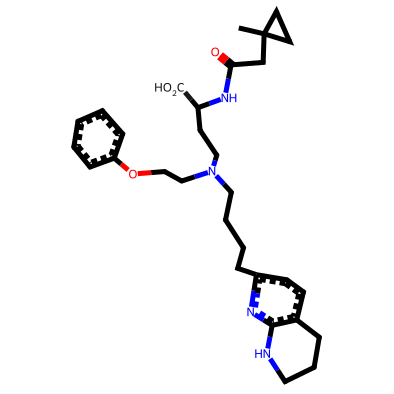 CC1(CC(=O)NC(CCN(CCCCc2ccc3c(n2)NCCC3)CCOc2ccccc2)C(=O)O)CC1